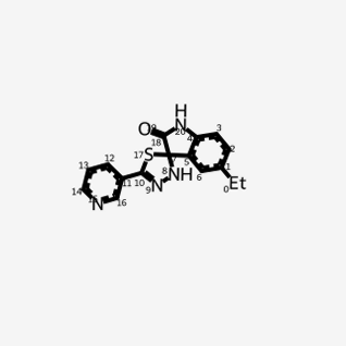 CCc1ccc2c(c1)C1(NN=C(c3cccnc3)S1)C(=O)N2